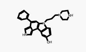 Oc1ccc2c(c1)c1c3c[nH]cc3c(-c3ccccc3)cc1n2CCCN1CCNCC1